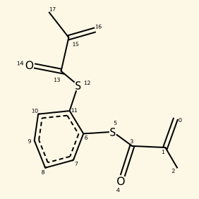 C=C(C)C(=O)Sc1ccccc1SC(=O)C(=C)C